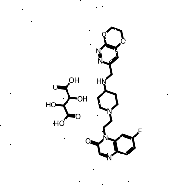 O=C(O)C(O)C(O)C(=O)O.O=c1cnc2ccc(F)cc2n1CCN1CCC(NCc2cc3c(nn2)OCCO3)CC1